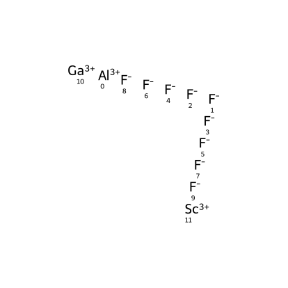 [Al+3].[F-].[F-].[F-].[F-].[F-].[F-].[F-].[F-].[F-].[Ga+3].[Sc+3]